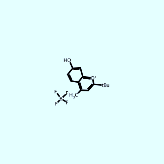 Cc1cc(C(C)(C)C)[o+]c2cc(O)ccc12.F[B-](F)(F)F